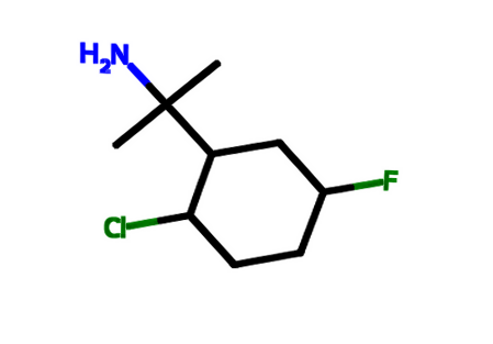 CC(C)(N)C1CC(F)CCC1Cl